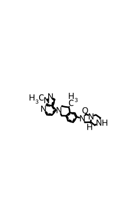 C[C@H]1CN(c2ccnc3c2cnn3C)Cc2ccc(N3C[C@H]4CNCCN4C3=O)cc21